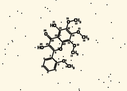 COc1ccccc1-c1oc2c(OC)c(OC)c(OC)c(O)c2c(=O)c1O